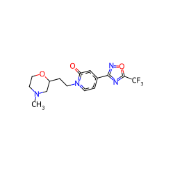 CN1CCOC(CCn2ccc(-c3noc(C(F)(F)F)n3)cc2=O)C1